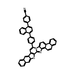 N#Cc1ccc(-c2ccc(-c3ccc(-c4cc5c6cc7ccccc7cc6sc5c5nc6c7ccc8ccccc8c7ccc6n45)cc3)c3ccccc23)cc1